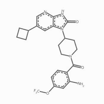 Nc1cc(OC(F)(F)F)ccc1C(=O)N1CCC(n2c(=O)[nH]c3ncc(C4CCC4)cc32)CC1